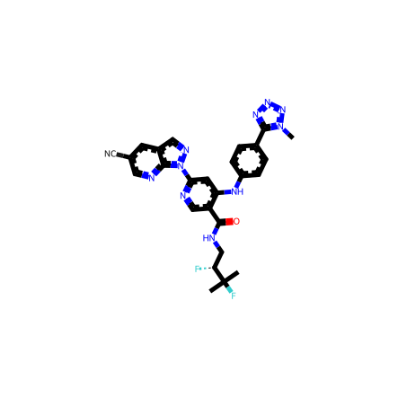 Cn1nnnc1-c1ccc(Nc2cc(-n3ncc4cc(C#N)cnc43)ncc2C(=O)NC[C@@H](F)C(C)(C)F)cc1